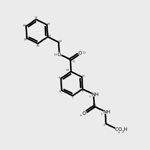 O=C(O)CNC(=O)Nc1cccc(C(=O)OCc2ccccc2)c1